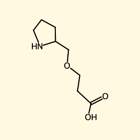 O=C(O)CCOCC1CCCN1